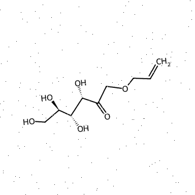 C=CCOCC(=O)[C@@H](O)[C@H](O)[C@H](O)CO